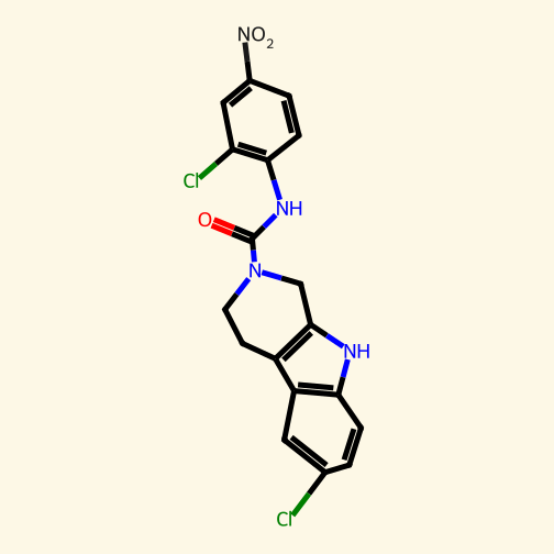 O=C(Nc1ccc([N+](=O)[O-])cc1Cl)N1CCc2c([nH]c3ccc(Cl)cc23)C1